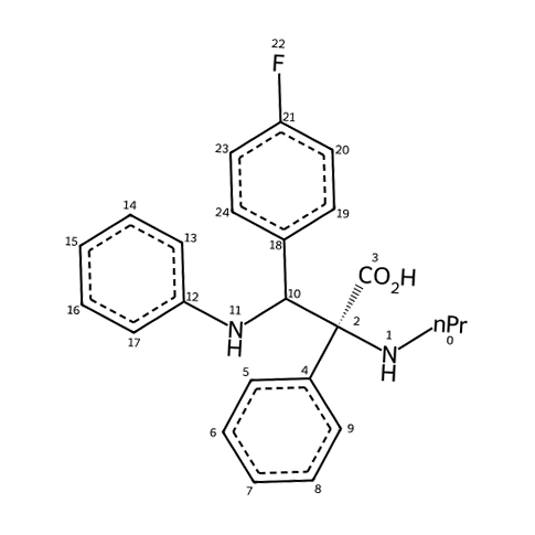 CCCN[C@@](C(=O)O)(c1ccccc1)C(Nc1ccccc1)c1ccc(F)cc1